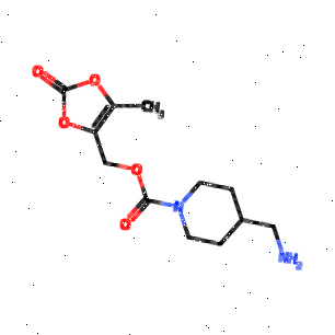 Cc1oc(=O)oc1COC(=O)N1CCC(CN)CC1